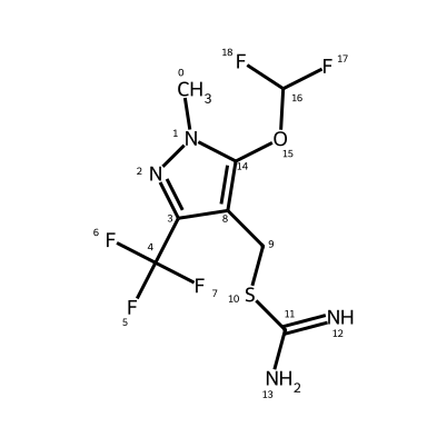 Cn1nc(C(F)(F)F)c(CSC(=N)N)c1OC(F)F